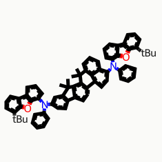 CC(C)(C)c1cccc2c1oc1c(N(c3ccccc3)c3ccc4c(c3)C(C)(C)c3c-4ccc4c3C(C)(C)c3cccc5c(N(c6ccccc6)c6cccc7c6oc6c(C(C)(C)C)cccc67)ccc-4c35)cccc12